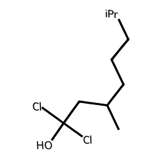 CC(C)CCCC(C)CC(O)(Cl)Cl